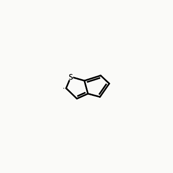 [CH]1C=C2C=CC=C2S1